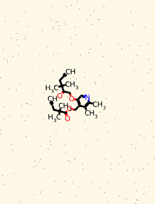 C#CCC(C)(C)C(=O)COc1cnc(C)c(C)c1COC(=O)C(C)(C)CC#C